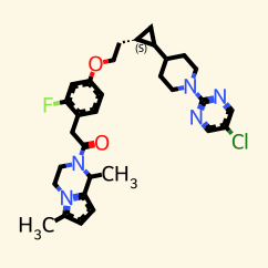 Cc1ccc2n1CCN(C(=O)Cc1ccc(OCC[C@@H]3CC3C3CCN(c4ncc(Cl)cn4)CC3)cc1F)C2C